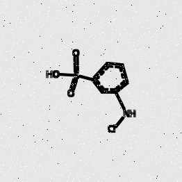 O=S(=O)(O)c1cccc(NCl)c1